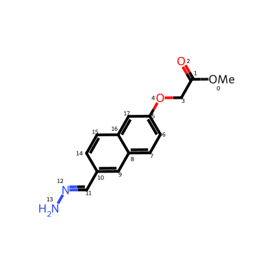 COC(=O)COc1ccc2cc(C=NN)ccc2c1